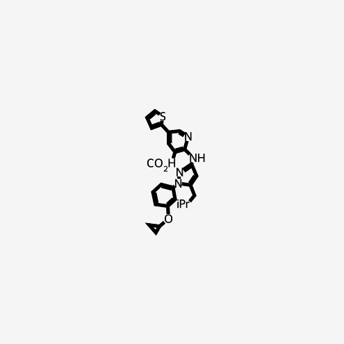 CC(C)Cc1cc(Nc2ncc(-c3cccs3)cc2C(=O)O)nn1-c1cccc(OC2CC2)c1